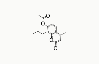 CCCc1c(OC(C)=O)ccc2c(C)cc(=O)oc12